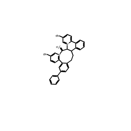 C=C1C2C(CCc3ccc(-c4ccccc4)cc3-c3ccc(C(C)(C)C)c[n+]31)c1ccccc1-c1ccc(C(C)(C)C)c[n+]12